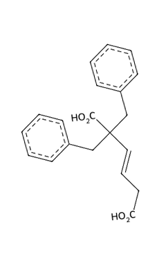 O=C(O)C/C=C/C(Cc1ccccc1)(Cc1ccccc1)C(=O)O